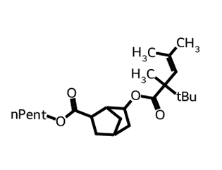 CCCCCOC(=O)C1CC2CC(OC(=O)C(C)(C=C(C)C)C(C)(C)C)C1C2